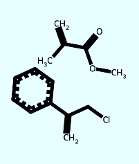 C=C(C)C(=O)OC.C=C(CCl)c1ccccc1